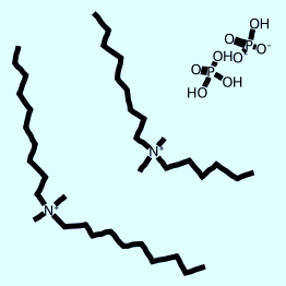 CCCCCCCCCC[N+](C)(C)CCCCCCCCCC.CCCCCCCCC[N+](C)(C)CCCCCC.O=P(O)(O)O.O=P([O-])([O-])O